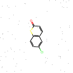 O=c1ccc2cc(Cl)ccc2s1